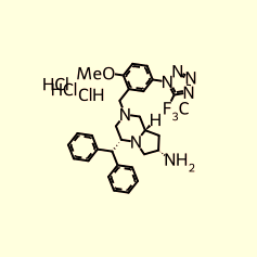 COc1ccc(-n2nnnc2C(F)(F)F)cc1CN1C[C@@H]2C[C@H](N)CN2[C@H](C(c2ccccc2)c2ccccc2)C1.Cl.Cl.Cl